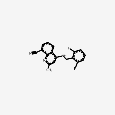 Cc1cc(NCc2c(F)cccc2F)c2cccc(C#N)c2n1